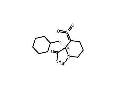 NC(=O)[C@@]1(CC2CCCCC2)C(=S(=O)=O)CCCN1F